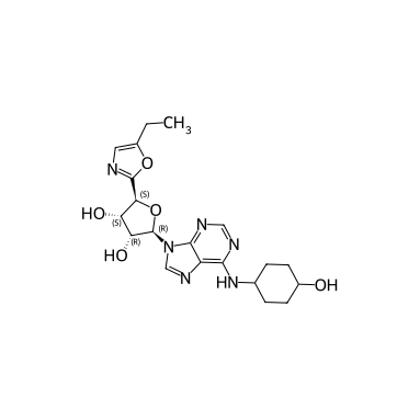 CCc1cnc([C@H]2O[C@@H](n3cnc4c(NC5CCC(O)CC5)ncnc43)[C@H](O)[C@@H]2O)o1